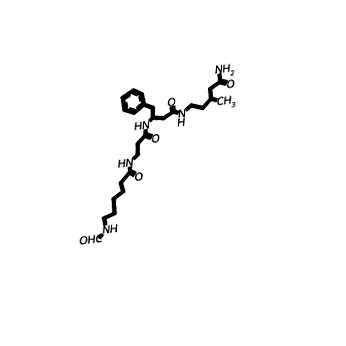 CC(CCNC(=O)CC(Cc1ccccc1)NC(=O)CCNC(=O)CCCCCNC=O)CC(N)=O